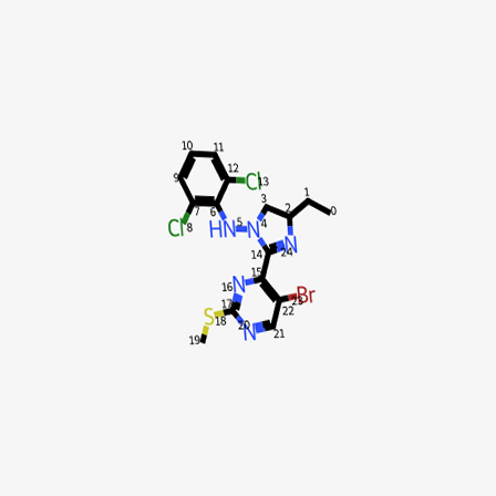 CCC1CN(Nc2c(Cl)cccc2Cl)C(c2nc(SC)ncc2Br)=N1